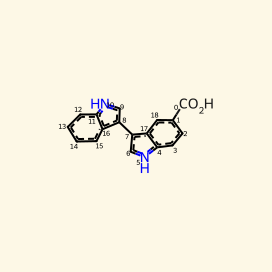 O=C(O)c1ccc2[nH]cc(-c3c[nH]c4ccccc34)c2c1